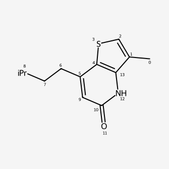 Cc1csc2c(CCC(C)C)cc(=O)[nH]c12